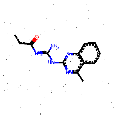 CCC(=O)/N=C(\N)Nc1nc(C)c2ccccc2n1